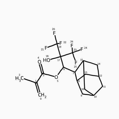 C=C(C)C(=O)OC(C1C2CC3CC(C2)CC1C3)C(O)(C(F)(F)F)C(F)(F)F